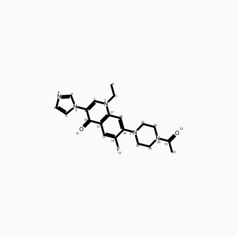 CCn1cc(-n2ccnc2)c(=O)c2cc(F)c(N3CCN(C(C)=O)CC3)cc21